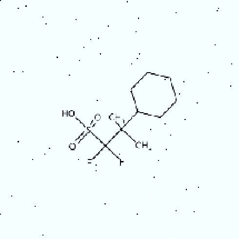 CC(C)(C1CCCCC1)C(F)(F)S(=O)(=O)O